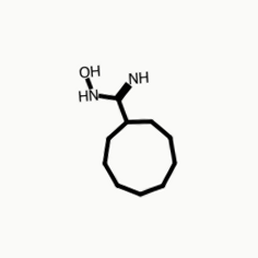 N=C(NO)C1CCCCCCCC1